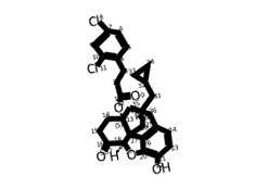 O=C(CCc1ccc(Cl)cc1Cl)O[C@@]12CCC(=O)[C@@H]3Oc4c(O)ccc5c4C31CCN(CC1CC1)C2C5